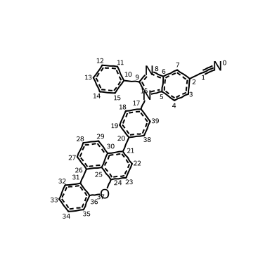 N#Cc1ccc2c(c1)nc(-c1ccccc1)n2-c1ccc(-c2ccc3c4c(cccc24)-c2ccccc2O3)cc1